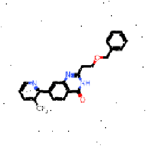 O=c1[nH]c(CCOCc2ccccc2)nc2cc(-c3ncccc3C(F)(F)F)ccc12